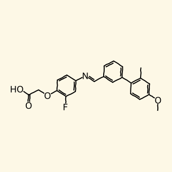 COc1ccc(-c2cccc(C=Nc3ccc(OCC(=O)O)c(F)c3)c2)c(C)c1